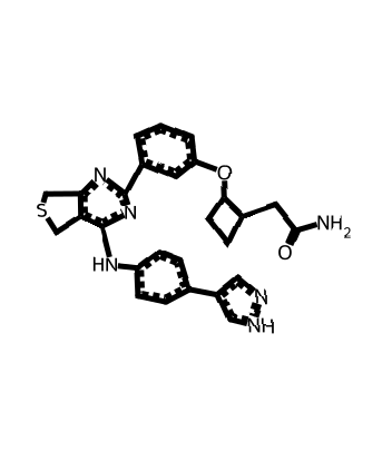 NC(=O)CC1CCC1Oc1cccc(-c2nc3c(c(Nc4ccc(-c5cn[nH]c5)cc4)n2)CSC3)c1